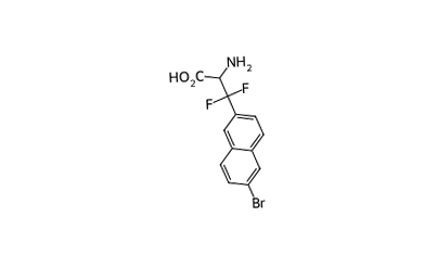 NC(C(=O)O)C(F)(F)c1ccc2cc(Br)ccc2c1